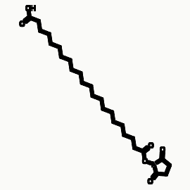 O=C(O)CCCCCCCCCCCCCCCCCCCCC(=O)ON1C(=O)CCC1=O